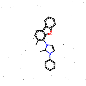 Cc1ccc2c(oc3ccccc32)c1N1C=CN(c2ccccc2)C1C